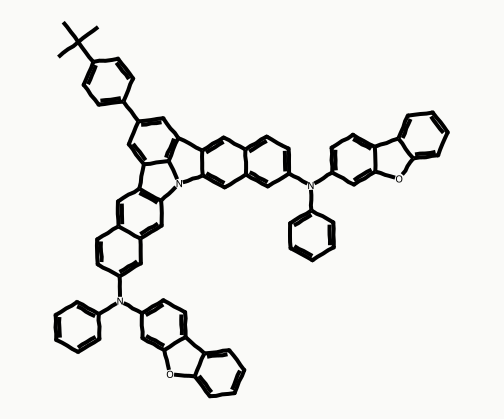 CC(C)(C)c1ccc(-c2cc3c4cc5ccc(N(c6ccccc6)c6ccc7c(c6)oc6ccccc67)cc5cc4n4c5cc6cc(N(c7ccccc7)c7ccc8c(c7)oc7ccccc78)ccc6cc5c(c2)c34)cc1